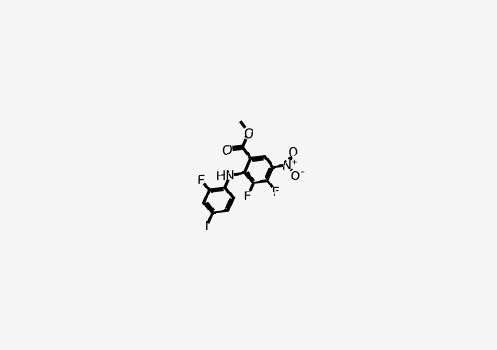 COC(=O)c1cc([N+](=O)[O-])c(F)c(F)c1Nc1ccc(I)cc1F